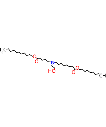 CCCCCCCCCCCOC(=O)CCCCCN(CCO)CCCCCCCC(=O)OCCCCCCCCC